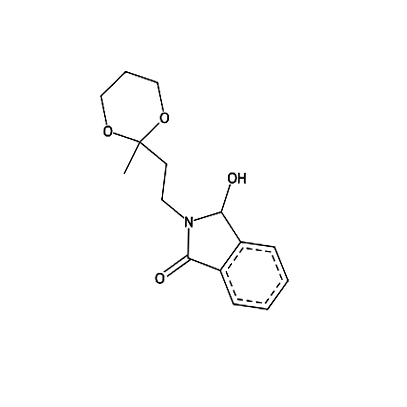 CC1(CCN2C(=O)c3ccccc3C2O)OCCCO1